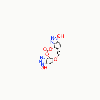 O=C1Oc2c(ccc3c2nnn3O)CCOc2ccc3c(nnn3O)c2O1